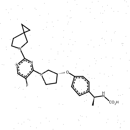 C[C@H](NC(=O)O)c1ccc(O[C@@H]2CCN(c3nc(N4CCC5(CC5)C4)ncc3F)C2)cc1